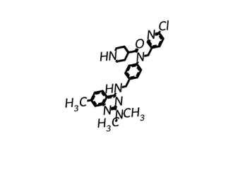 Cc1ccc2c(NCc3ccc(N(Cc4ccc(Cl)nc4)C(=O)C4CCNCC4)cc3)nc(N(C)C)nc2c1